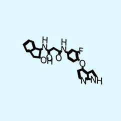 O=C(CC(=O)NC1c2ccccc2CC1O)Nc1ccc(Oc2ccnc3[nH]ccc23)c(F)c1